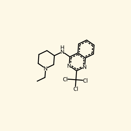 CCN1CCCC(Nc2nc(C(Cl)(Cl)Cl)nc3ccccc23)C1